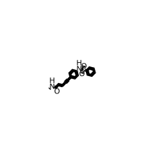 CNC(=O)/C=C/C#Cc1ccc(NS(=O)(=O)c2ccccc2)cc1